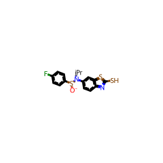 CC(C)N(c1ccc2nc(S)sc2c1)[S+]([O-])c1ccc(F)cc1